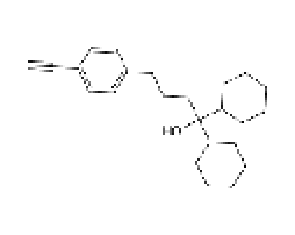 C#Cc1ccc(CCCC(O)(C2CCCCC2)C2CCCCC2)cc1